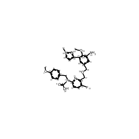 COc1ccc(CN(C(=O)O)c2ccc(F)c(COCc3cc(N)c(OC)c(-c4ccn(C)n4)c3)n2)cc1